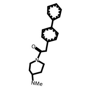 CNC1CCN(C(=O)Cc2ccc(-c3ccccc3)cc2)CC1